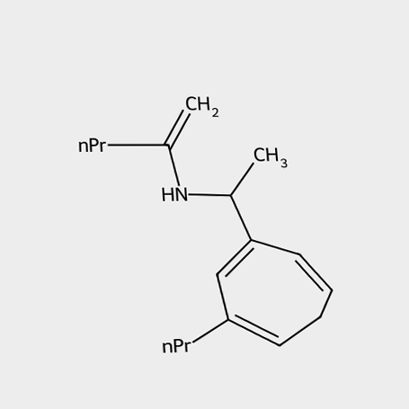 C=C(CCC)NC(C)C1=CC(CCC)=CCC=C1